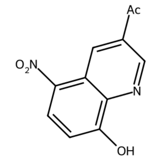 CC(=O)c1cnc2c(O)ccc([N+](=O)[O-])c2c1